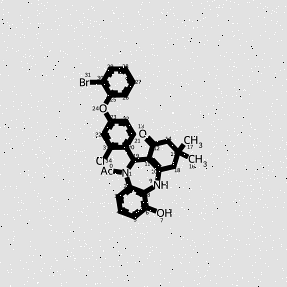 CC(=O)N1c2cccc(O)c2NC2=C(C(=O)CC(C)(C)C2)C1c1ccc(Oc2ccccc2Br)cc1Cl